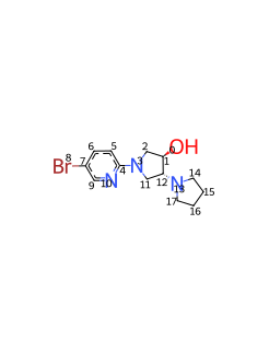 O[C@@H]1CN(c2ccc(Br)cn2)C[C@H]1N1CCCC1